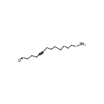 BCCCCCCCCC#CCCCC=O